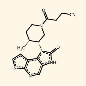 C[C@@H]1CCN(C(=O)CCC#N)C[C@@H]1n1c(=O)[nH]c2cnc3[nH]ccc3c21